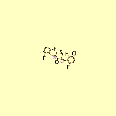 Cc1ccc(F)c(/C=C2\CSC/C(=C\c3c(F)ccc(Cl)c3F)C2=O)c1F